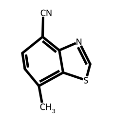 Cc1ccc(C#N)c2ncsc12